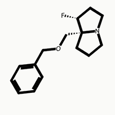 F[C@@H]1CCN2CCC[C@@]12COCc1ccccc1